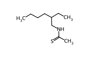 CCCCC(CC)CNC(C)=S